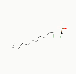 O=S(=O)([O-])C(F)(F)C(F)(F)CCCCCCCCC(F)(F)F.[K+]